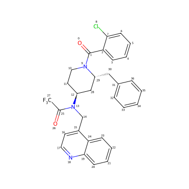 O=C(c1ccccc1Cl)N1CC[C@H](N(Cc2ccnc3ccccc23)C(=O)C(F)(F)F)C[C@H]1Cc1ccccc1